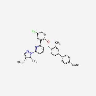 COc1ccc(-c2ccc(COc3ccc(Cl)cc3-c3cccc(-n4ncc(C(=O)O)c4C(F)(F)F)n3)c(C)c2)cc1